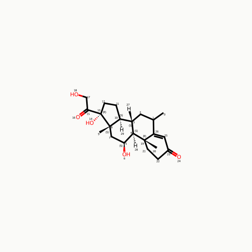 CC1C[C@@H]2[C@H]([C@@H](O)C[C@@]3(C)[C@H]2CC[C@]3(O)C(=O)CO)[C@@]2(C)CCC(=O)C=C12